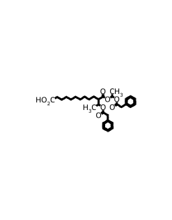 CC(OC(=O)Cc1ccccc1)OC(=O)C(CCCCCCCCCC(=O)O)C(C)OC(=O)Cc1ccccc1